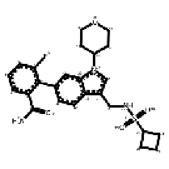 NC(=O)c1cccc(F)c1-c1ccc2c(CNS(=O)(=O)C3CCC3)cn(C3CCOCC3)c2c1